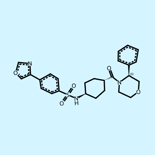 O=C([C@H]1CC[C@H](NS(=O)(=O)c2ccc(-c3cocn3)cc2)CC1)N1CCOC[C@@H]1c1ccccc1